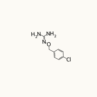 NC(N)=NOCc1ccc(Cl)cc1